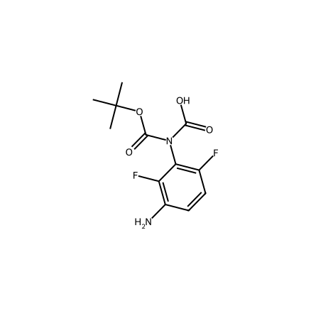 CC(C)(C)OC(=O)N(C(=O)O)c1c(F)ccc(N)c1F